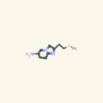 CC(=O)SCCc1cn2cc(N)ccc2n1